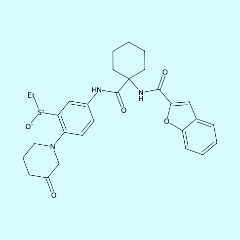 CC[S+]([O-])c1cc(NC(=O)C2(NC(=O)c3cc4ccccc4o3)CCCCC2)ccc1N1CCCC(=O)C1